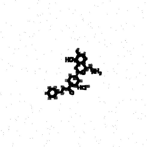 Cc1ccc2c(c1O)C[C@@H](C1CCN(C(=O)CCc3ccccc3)CC1)O[C@H]2CN.Cl